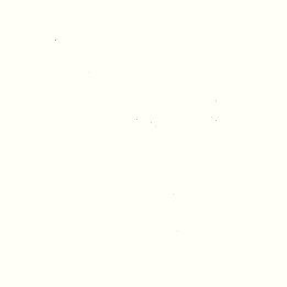 Cn1ncc(-c2nnc(-c3ccc(S(N)(=O)=O)cc3)o2)c1COc1ccc(C(F)(F)F)cc1